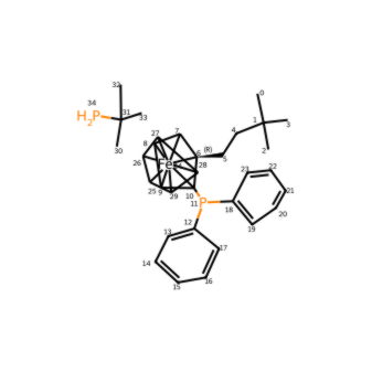 CC(C)(C)CC[C@@]12[CH]3[CH]4[CH]5[C]1(P(c1ccccc1)c1ccccc1)[Fe]45321678[CH]2[CH]1[CH]6[CH]7[CH]28.CC(C)(C)P